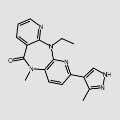 CCN1c2ncccc2C(=O)N(C)c2ccc(-c3c[nH]nc3C)nc21